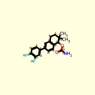 CC1(C)CCc2cc(-c3ccc(F)c(F)c3)ccc2C1OC(N)=O